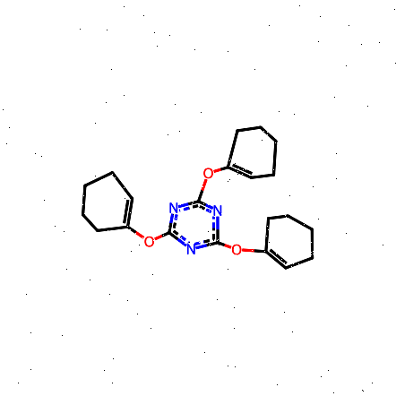 C1=C(Oc2nc(OC3=CCCCC3)nc(OC3=CCCCC3)n2)CCCC1